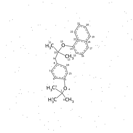 CC(C)(C)Oc1ccc(CC(C)(C)Oc2cccc3ccccc23)cc1